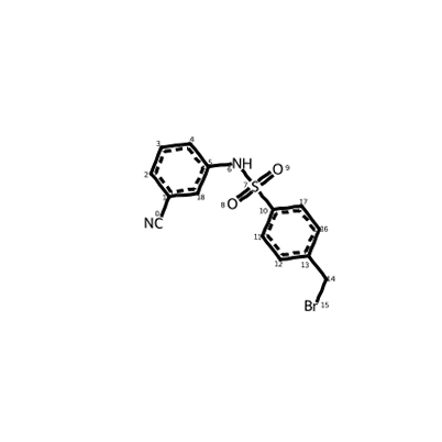 N#Cc1cccc(NS(=O)(=O)c2ccc(CBr)cc2)c1